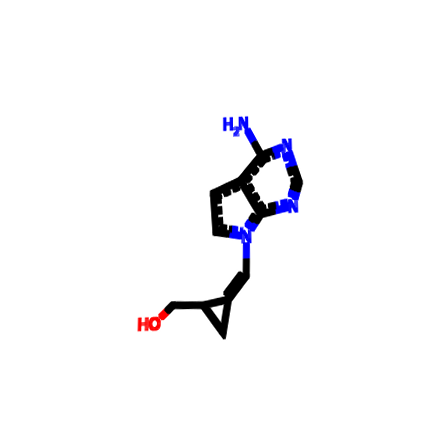 Nc1ncnc2c1ccn2C=C1CC1CO